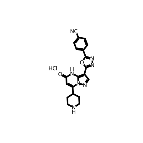 Cl.N#Cc1ccc(-c2nnc(-c3cnn4c(C5CCNCC5)cc(=O)[nH]c34)o2)cc1